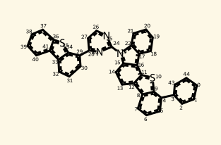 c1ccc(-c2cccc3c2sc2c3ccc3c2c2ccccc2n3-c2nccc(-c3cccc4c3sc3ccccc34)n2)cc1